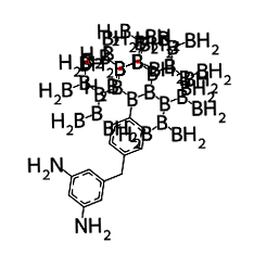 BB(B)B(B(B)B)B(B(B(B)B)B(B)B)B(B(B(B)B)B(B)B)B(B(B(B(B)B)B(B)B)B(B(B)B)B(B)B)c1ccc(Cc2cc(N)cc(N)c2)cc1